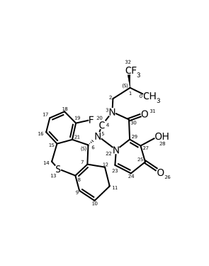 C[C@@H](CN1CN([C@@H]2C3=C(C=CCC3)SCc3cccc(F)c32)n2ccc(=O)c(O)c2C1=O)C(F)(F)F